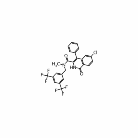 CN(Cc1cc(C(F)(F)F)cc(C(F)(F)F)c1)C(=O)c1[nH]c(=O)c2ccc(Cl)cc2c1-c1ccccc1